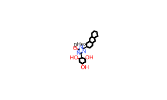 CCCCCCOc1nc(-c2ccc3cc4ccccc4cc3c2)nc(-c2c(O)cc(O)cc2O)n1